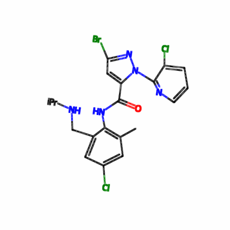 Cc1cc(Cl)cc(CNC(C)C)c1NC(=O)c1cc(Br)nn1-c1ncccc1Cl